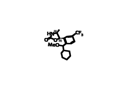 COC(c1ccc(C(F)(F)F)cc1[C@@H]1OC(=O)N[C@H]1C)C1CCCCC1